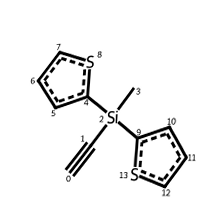 C#C[Si](C)(c1cccs1)c1cccs1